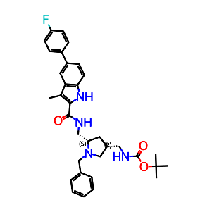 Cc1c(C(=O)NC[C@@H]2C[C@H](CNC(=O)OC(C)(C)C)CN2Cc2ccccc2)[nH]c2ccc(-c3ccc(F)cc3)cc12